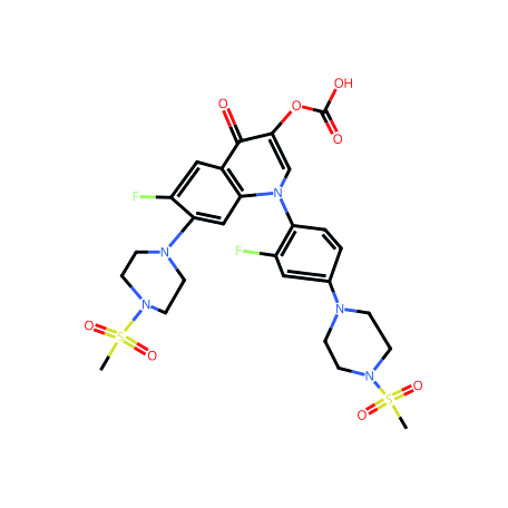 CS(=O)(=O)N1CCN(c2ccc(-n3cc(OC(=O)O)c(=O)c4cc(F)c(N5CCN(S(C)(=O)=O)CC5)cc43)c(F)c2)CC1